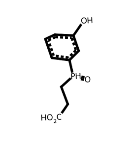 O=C(O)CC[PH](=O)c1cccc(O)c1